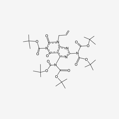 C=CCn1c(=O)n(C(=O)OC(C)(C)C)c(=O)c2c(N(C(=O)OC(C)(C)C)C(=O)OC(C)(C)C)nc(N(C(=O)OC(C)(C)C)C(=O)OC(C)(C)C)nc21